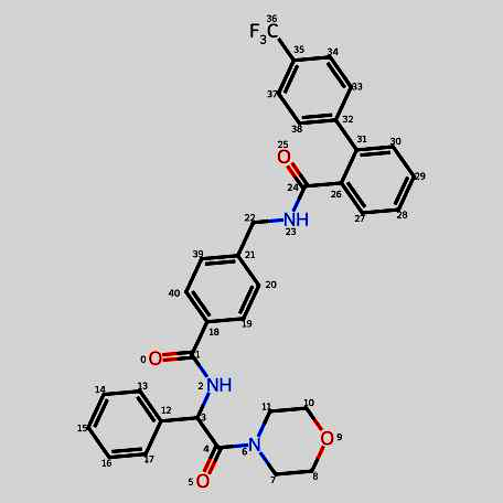 O=C(NC(C(=O)N1CCOCC1)c1ccccc1)c1ccc(CNC(=O)c2ccccc2-c2ccc(C(F)(F)F)cc2)cc1